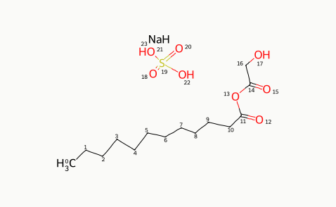 CCCCCCCCCCCC(=O)OC(=O)CO.O=S(=O)(O)O.[NaH]